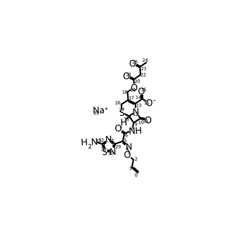 C=CCON=C(C(=O)NC1C(=O)N2C(C(=O)[O-])=C(COC(=O)CC(C)=O)CS[C@@H]12)c1nsc(N)n1.[Na+]